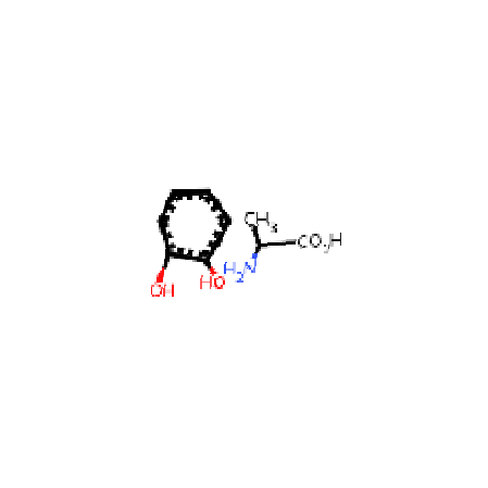 CC(N)C(=O)O.Oc1ccccc1O